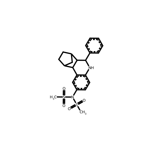 CS(=O)(=O)N(c1ccc2c(c1)C1C3CCC(C3)C1C(c1ccccc1)N2)S(C)(=O)=O